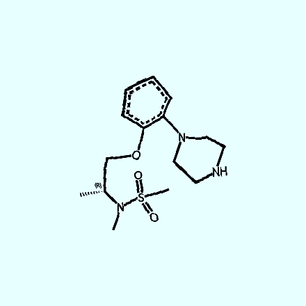 C[C@H](COc1ccccc1N1CCNCC1)N(C)S(C)(=O)=O